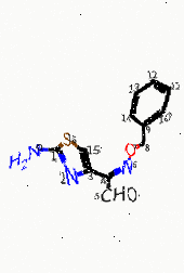 Nc1nc(C([C]=O)=NOCc2ccccc2)cs1